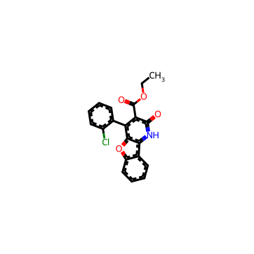 CCOC(=O)c1c(-c2ccccc2Cl)c2oc3ccccc3c2[nH]c1=O